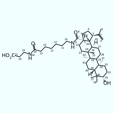 C=C(C)[C@@H]1CC[C@]2(C(=O)NCCCCCCC(=O)NCCC(=O)O)CC[C@]3(C)[C@H](CCC4[C@@]5(C)CC[C@H](O)C(C)(C)[C@@H]5CC[C@]43C)[C@@H]12